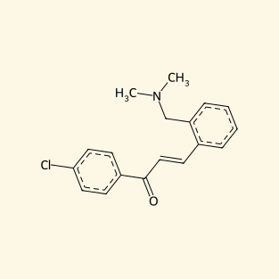 CN(C)Cc1ccccc1C=CC(=O)c1ccc(Cl)cc1